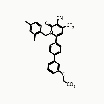 Cc1ccc(Cn2c(-c3ccc(-c4cccc(OCC(=O)O)c4)cc3)cc(C(F)(F)F)c(C#N)c2=O)c(C)c1